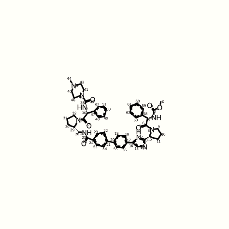 COC(=O)N[C@@H](C(=O)N1CCC[C@H]1c1ncc(-c2ccc(-c3ccc(C(=O)NC[C@@H]4CCCN4C(=O)[C@H](NC(=O)N4CCN(C)CC4)c4ccccc4)cc3)cc2)[nH]1)c1ccccc1